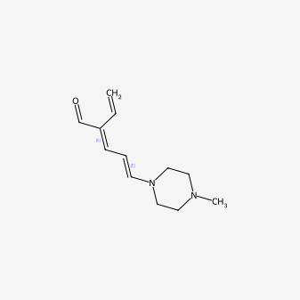 C=C/C(C=O)=C\C=C\N1CCN(C)CC1